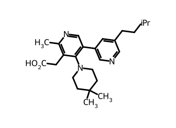 Cc1ncc(-c2cncc(CCC(C)C)c2)c(N2CCC(C)(C)CC2)c1CC(=O)O